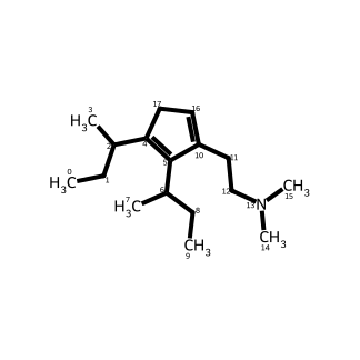 CCC(C)C1=C(C(C)CC)C(CCN(C)C)=CC1